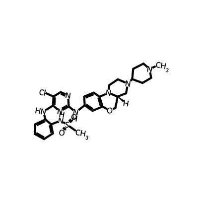 CN1CCC(N2CCN3c4ccc(Nc5ncc(Cl)c(Nc6ccccc6NS(C)(=O)=O)n5)cc4OC[C@H]3C2)CC1